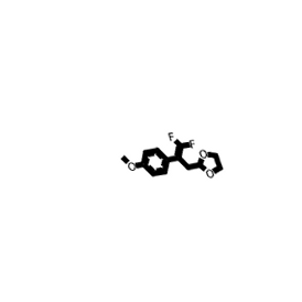 COc1ccc(C(CC2OCCO2)=C(F)F)cc1